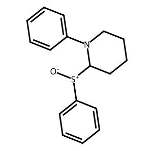 [O-][S+](c1ccccc1)C1CCCCN1c1ccccc1